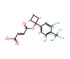 O=C(O)/C=C/C(=O)OC1(c2cc(F)c(C(F)(F)F)c(F)c2)CCC1